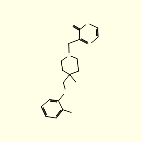 Cc1ccccc1OCC1(C)CCN(Cc2ncc[nH]c2=O)CC1